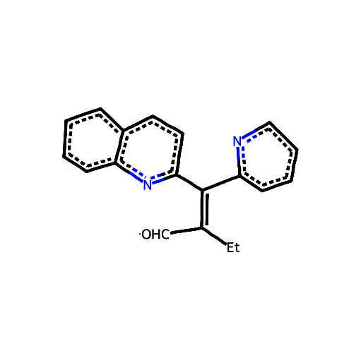 CCC([C]=O)=C(c1ccccn1)c1ccc2ccccc2n1